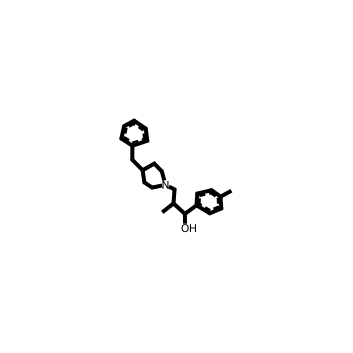 Cc1ccc(C(O)C(C)CN2CCC(Cc3ccccc3)CC2)cc1